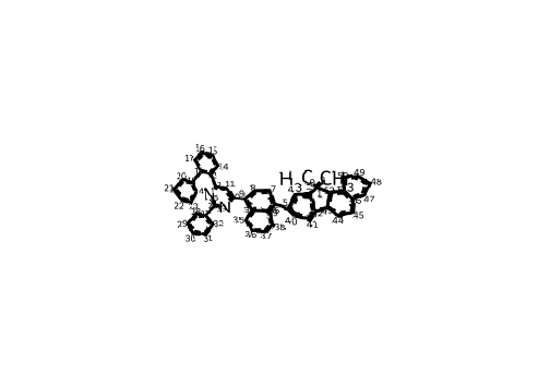 CC1(C)c2cc(-c3ccc(-c4cc(-c5ccccc5-c5ccccc5)nc(-c5ccccc5)n4)c4ccccc34)ccc2-c2ccc3ccccc3c21